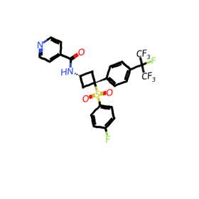 O=C(N[C@H]1C[C@@](c2ccc(C(F)(C(F)(F)F)C(F)(F)F)cc2)(S(=O)(=O)c2ccc(F)cc2)C1)c1ccncc1